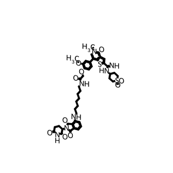 COc1cc(-c2cn(C)c(=O)c3cc(C(=N)NC4CCS(=O)(=O)CC4)sc23)ccc1OCC(=O)NCCCCCCCCNc1cccc2c1C(=O)N(C1CCC(=O)NC1=O)C2=O